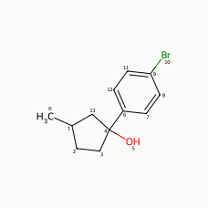 CC1CCC(O)(c2ccc(Br)cc2)C1